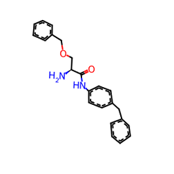 N[C@@H](COCc1ccccc1)C(=O)Nc1ccc(Cc2ccccc2)cc1